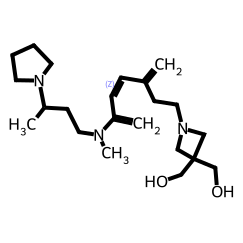 C=C(/C=C\C(=C)N(C)CCC(C)N1CCCC1)CCN1CC(CO)(CO)C1